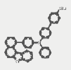 CC(C)(C)c1ccc(-c2ccc(N(c3ccccc3)c3ccc(-c4cccc5ccc6oc7ccccc7c6c45)cc3)cc2)cc1